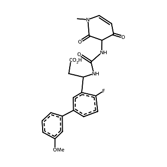 COc1cccc(-c2ccc(F)c(C(CC(=O)O)NC(=O)NC3C(=O)C=CN(C)C3=O)c2)c1